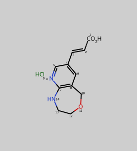 Cl.O=C(O)C=Cc1cnc2c(c1)COCCN2